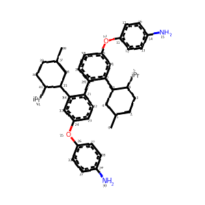 CC1CCC(C(C)C)C(c2cc(Oc3ccc(N)cc3)ccc2-c2ccc(Oc3ccc(N)cc3)cc2C2CC(C)CCC2C(C)C)C1